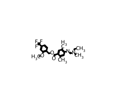 CCN(C)/C=N/c1cc(C)c(C(=O)OCc2ccc(C(F)(F)F)cc2OC)cc1C